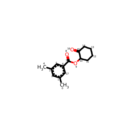 Cc1cc(C)cc(C(=O)OC2CCCCC2=O)c1